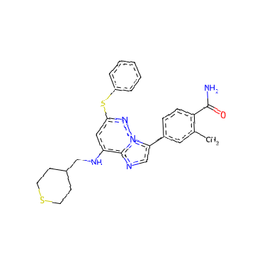 Cc1cc(-c2cnc3c(NCC4CCSCC4)cc(Sc4ccccc4)nn23)ccc1C(N)=O